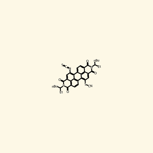 CCCCC(CC)N1C(=O)c2ccc3c4c(SC#N)cc5c6c(ccc(c7c(N=C=S)cc(c2c37)C1=O)c64)C(=O)N(C(CC)CCCC)C5=O